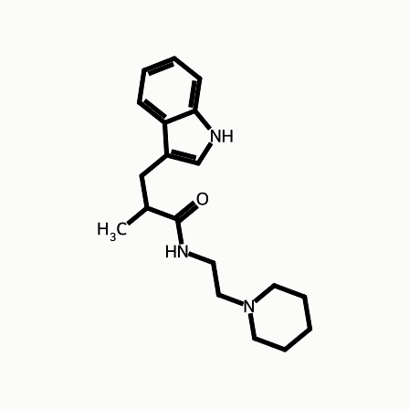 CC(Cc1c[nH]c2ccccc12)C(=O)NCCN1CCCCC1